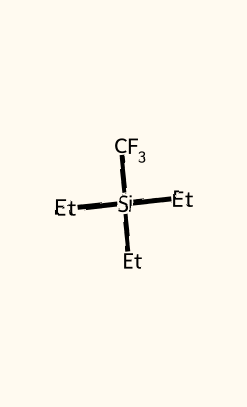 CC[Si](CC)(CC)C(F)(F)F